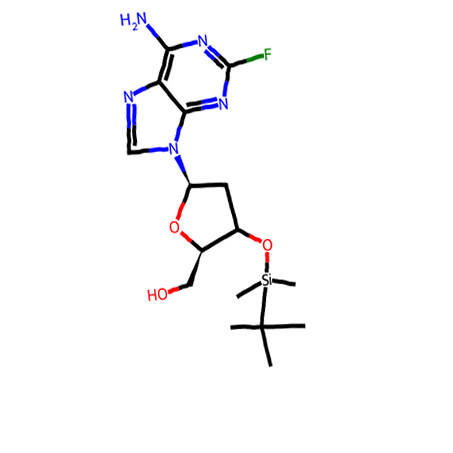 CC(C)(C)[Si](C)(C)OC1C[C@H](n2cnc3c(N)nc(F)nc32)O[C@@H]1CO